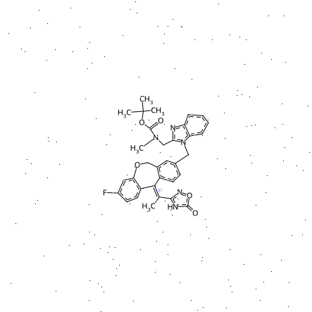 C/C(=C1/c2ccc(Cn3c(CN(C)C(=O)OC(C)(C)C)nc4ccccc43)cc2COc2cc(F)ccc21)c1noc(=O)[nH]1